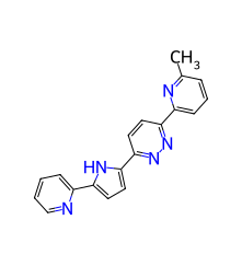 Cc1cccc(-c2ccc(-c3ccc(-c4ccccn4)[nH]3)nn2)n1